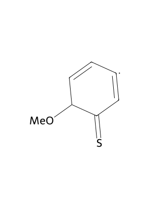 COC1C=C[C]=CC1=S